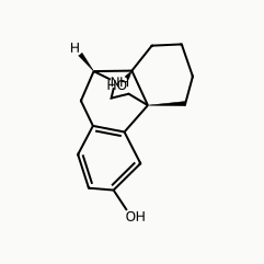 Oc1ccc2c(c1)[C@@]13CCCC[C@@]1(O)[C@@H](C2)NCC3